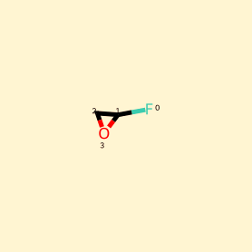 FC1CO1